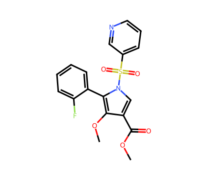 COC(=O)c1cn(S(=O)(=O)c2cccnc2)c(-c2ccccc2F)c1OC